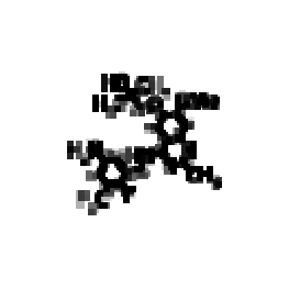 COC1=Cc2nc(C)nc(NCc3cc(N)cc(C(F)(F)F)c3F)c2CC1OCC(C)(C)O